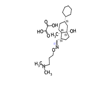 CN(C)CCCO/N=C/[C@H]1CC[C@]2(O)C[C@@H](C3CCCCC3)CC[C@]12C.O=C(O)C(=O)O